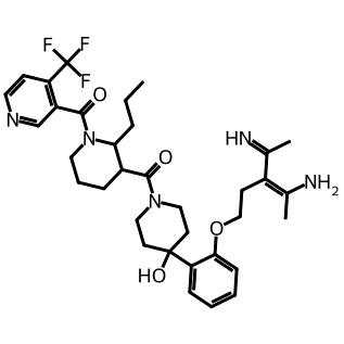 CCCC1C(C(=O)N2CCC(O)(c3ccccc3OCC/C(C(C)=N)=C(\C)N)CC2)CCCN1C(=O)c1cnccc1C(F)(F)F